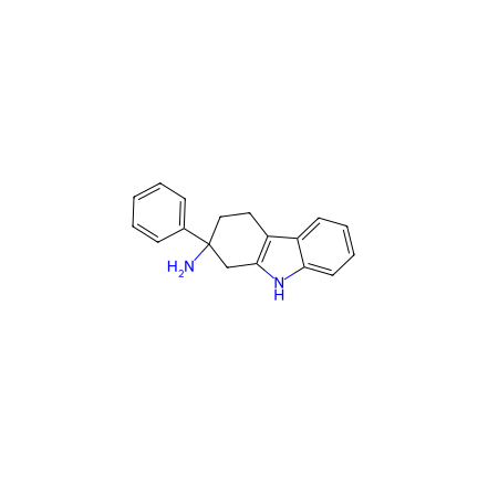 NC1(c2ccccc2)CCc2c([nH]c3ccccc23)C1